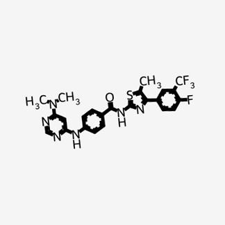 Cc1sc(NC(=O)c2ccc(Nc3cc(N(C)C)ncn3)cc2)nc1-c1ccc(F)c(C(F)(F)F)c1